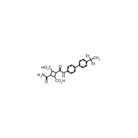 CCC(C)(CC)c1ccc(-c2ccc(NC(=O)C3C(C(=O)O)C(C(N)=O)C3C(=O)O)cc2)cc1